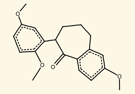 COc1ccc2c(c1)CCCC(c1cc(OC)ccc1OC)C2=O